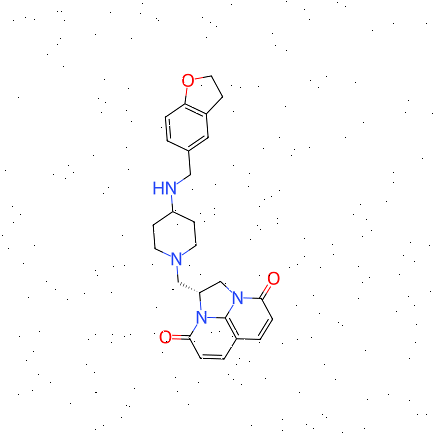 O=c1ccc2ccc(=O)n3c2n1C[C@H]3CN1CCC(NCc2ccc3c(c2)CCO3)CC1